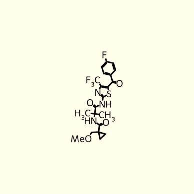 COCC1(C(=O)NC(C)(C)C(=O)Nc2nc(C(F)(F)F)c(C(=O)c3ccc(F)cc3)s2)CC1